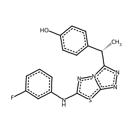 C[C@@H](c1ccc(O)cc1)c1nnc2sc(Nc3cccc(F)c3)nn12